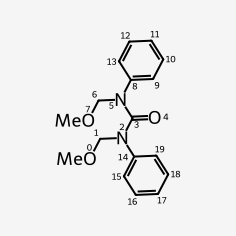 COCN(C(=O)N(COC)c1ccccc1)c1ccccc1